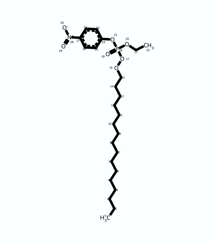 CCCCCCCCCCCCCCCCOOP(=O)(OCC)Oc1ccc([N+](=O)[O-])cc1